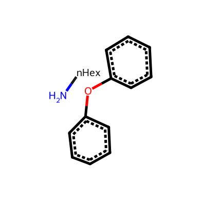 CCCCCCN.c1ccc(Oc2ccccc2)cc1